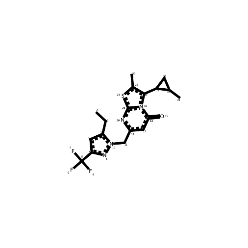 CCc1cc(C(F)(F)F)nn1Cc1cc(=O)n2c(C3CC3C)c(C)sc2n1